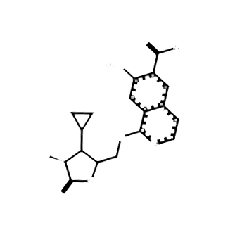 COc1cc2c(OCC3NC(=O)[C@@H](F)C3C3CC3)nccc2cc1C(N)=O